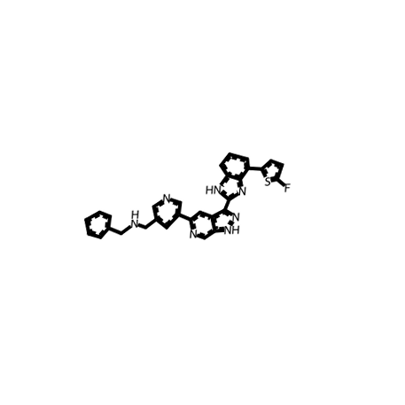 Fc1ccc(-c2cccc3[nH]c(-c4n[nH]c5cnc(-c6cncc(CNCc7ccccc7)c6)cc45)nc23)s1